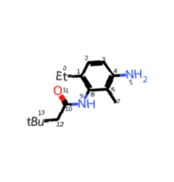 CCc1ccc(N)c(C)c1NC(=O)CC(C)(C)C